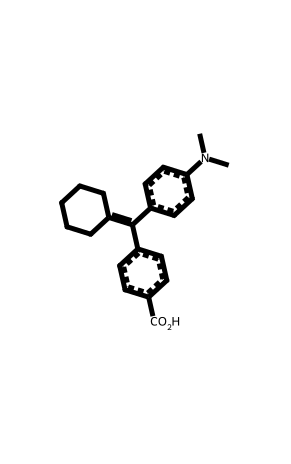 CN(C)c1ccc(C(=C2CCCCC2)c2ccc(C(=O)O)cc2)cc1